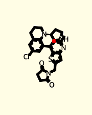 Cc1cc(-c2cc(Cl)cc3c2N([C@H]2CCNC2)CCC3)c2sc(CN3C(=O)CCC3=O)cc2n1